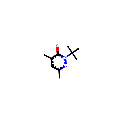 Cc1cc(C)c(=O)n(C(C)(C)C)n1